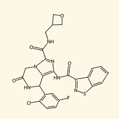 O=C1Cn2c(C(=O)NCC3COC3)nc(NC(=O)c3nsc4ccccc34)c2C(c2cc(F)ccc2Cl)N1